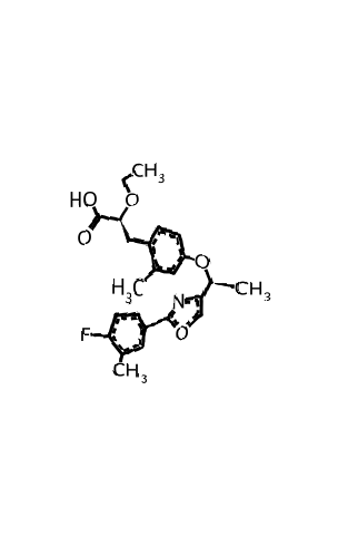 CCO[C@@H](Cc1ccc(O[C@@H](C)c2coc(-c3ccc(F)c(C)c3)n2)cc1C)C(=O)O